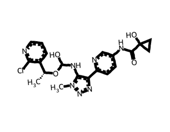 C[C@@H](OC(O)Nc1c(-c2ccc(NC(=O)C3(O)CC3)cn2)nnn1C)c1cccnc1Cl